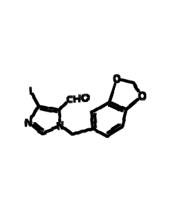 O=Cc1c(I)ncn1Cc1ccc2c(c1)OCO2